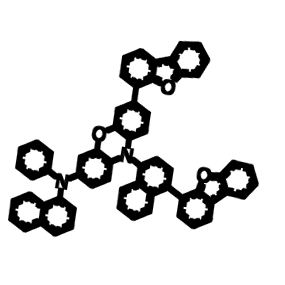 c1ccc(N(c2ccc3c(c2)Oc2cc(-c4cccc5c4oc4ccccc45)ccc2N3c2ccc(-c3cccc4c3oc3ccccc34)c3ccccc23)c2cccc3ccccc23)cc1